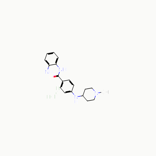 CN1CCC(Nc2ccc(C(=O)Nc3ccccc3N)cc2)CC1.Cl.Cl